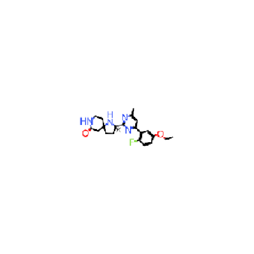 CCOc1ccc(F)c(-c2cc(C)nc([C@H]3CCC4(CCNC(=O)C4)N3)n2)c1